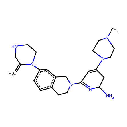 C=C1CNCCN1c1ccc2c(c1)CN(C1=NC(N)CC(N3CCN(C)CC3)=C1)CC2